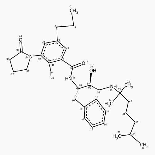 CCCc1cc(C(=O)N[C@@H](Cc2ccccc2)[C@@H](O)CNC(C)(C)CCCC(C)C)c(F)c(N2CCCC2=O)c1